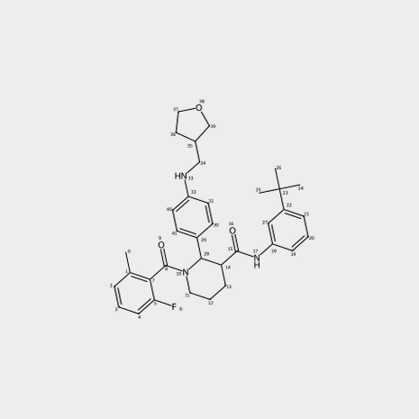 Cc1cccc(F)c1C(=O)N1CCCC(C(=O)Nc2cccc(C(C)(C)C)c2)C1c1ccc(NCC2CCOC2)cc1